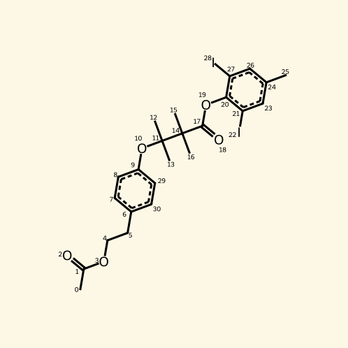 CC(=O)OCCc1ccc(OC(C)(C)C(C)(C)C(=O)Oc2c(I)cc(C)cc2I)cc1